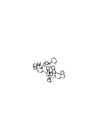 COc1ccc(C(CS(=O)(=O)Cc2ccc3occc3c2)N(C=O)OC(=O)[C@@H](OC)c2ccccc2)cc1